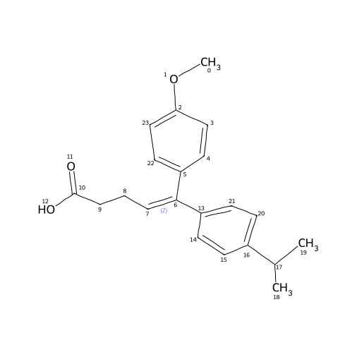 COc1ccc(/C(=C\CCC(=O)O)c2ccc(C(C)C)cc2)cc1